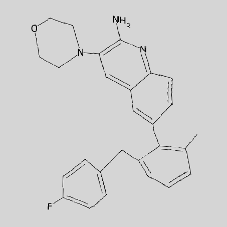 Cc1cccc(Cc2ccc(F)cc2)c1-c1ccc2nc(N)c(N3CCOCC3)cc2c1